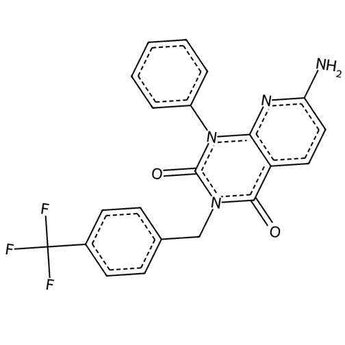 Nc1ccc2c(=O)n(Cc3ccc(C(F)(F)F)cc3)c(=O)n(-c3ccccc3)c2n1